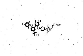 COCCN1CC(=O)N(C2CCC(Oc3cc(=O)n(C)cc3-c3cc(C(C)(C)O)ccc3Oc3c(C)cc(F)cc3C)CC2)C1=O